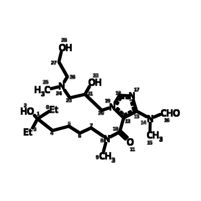 CCC(O)(CC)CCCCN(C)C(=O)c1c(N(C)C=O)ncn1CC(O)CN(C)CCO